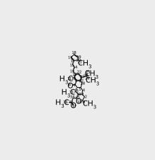 CCCC(CC1CC(=O)c2c(C)c(CCCC3=CC=CC3C)cc(C(C)C)c2C1)C(CC)C(=O)CC(C)=O